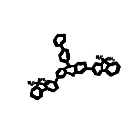 C[Si]1(C)c2ccccc2-c2ccc(-c3ccc4c(c3)Oc3cc(-c5ccc6c(c5)[Si](C)(C)c5ccccc5-6)ccc3N4c3ccc(-c4ccccc4)cc3)cc21